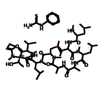 CNC(CC(C)C)C(=O)NC(C(=O)N(C)C(CC(C)C)C(=O)NC(C)C(=O)NC(C)C(=O)N(C)C(CC(C)C)C(=O)N(C)C(CC(C)C)C(=O)N(C)C(C(=O)[C@@](C(=O)O)(C(C)O)N(C)C1=CCC1)C(C)C)C(C)C.NC(=S)Nc1ccccc1